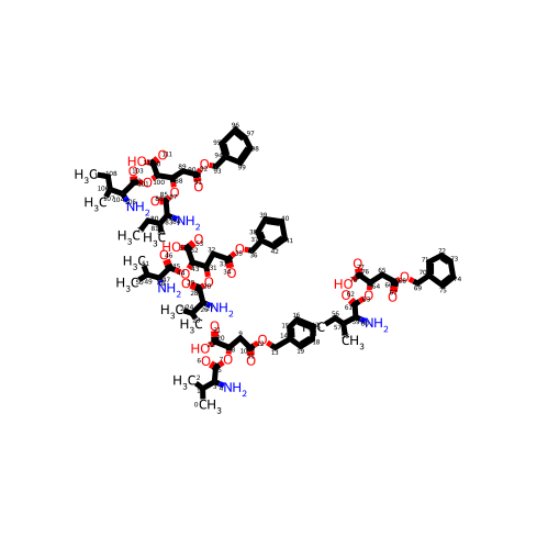 CC(C)C(N)C(=O)OC(CC(=O)OCc1ccccc1)C(=O)O.CC(C)C(N)C(=O)OC(CC(=O)OCc1ccccc1)C(OC(=O)C(N)C(C)C)C(=O)O.CCC(C)C(N)C(=O)OC(CC(=O)OCc1ccccc1)C(=O)O.CCC(C)C(N)C(=O)OC(CC(=O)OCc1ccccc1)C(OC(=O)C(N)C(C)CC)C(=O)O